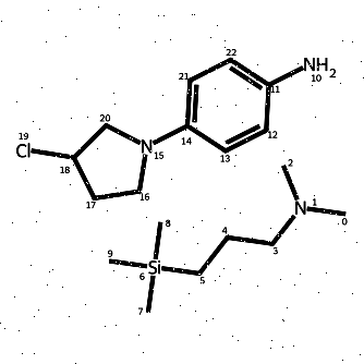 CN(C)CCC[Si](C)(C)C.Nc1ccc(N2CCC(Cl)C2)cc1